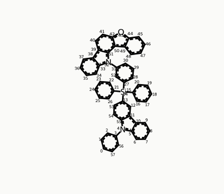 c1ccc(-n2c3ccccc3c3cc([Si](c4ccccc4)(c4ccccc4)c4cccc(-n5c6ccccc6c6ccc7oc8ccccc8c7c65)c4)ccc32)cc1